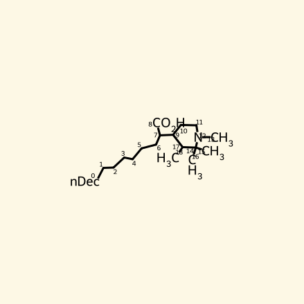 CCCCCCCCCCCCCCCCC(C(=O)O)C1CCN(C)C(C)(C)C1C